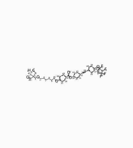 CCC1(COCCCCCCOc2ccc(C(=O)Oc3ccc(C#Cc4ccc(OC(F)(F)C(F)C(F)(F)F)cc4)cc3)cc2)COC1